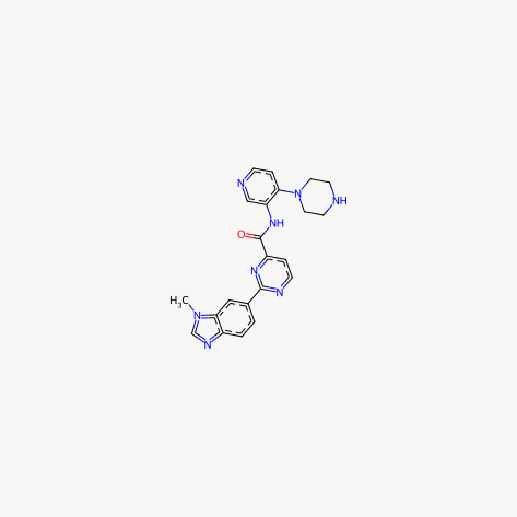 Cn1cnc2ccc(-c3nccc(C(=O)Nc4cnccc4N4CCNCC4)n3)cc21